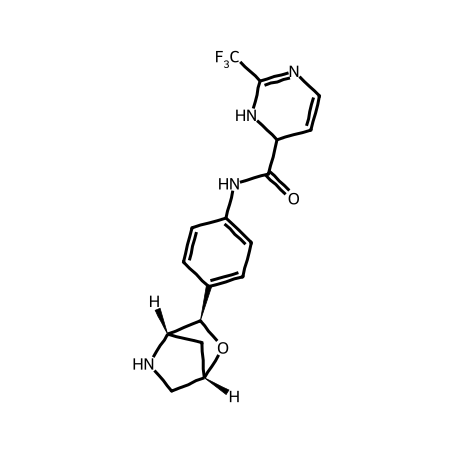 O=C(Nc1ccc([C@H]2O[C@@H]3CN[C@H]2C3)cc1)C1C=CN=C(C(F)(F)F)N1